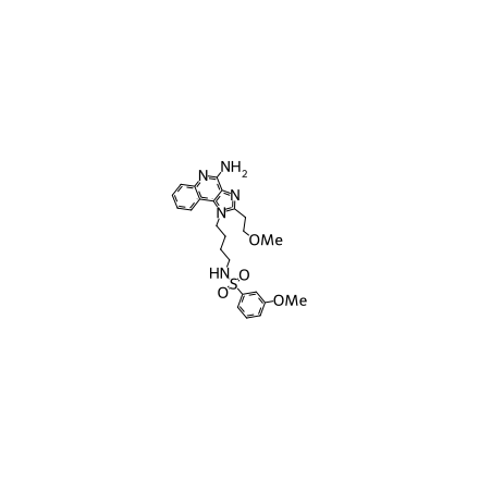 COCCc1nc2c(N)nc3ccccc3c2n1CCCCNS(=O)(=O)c1cccc(OC)c1